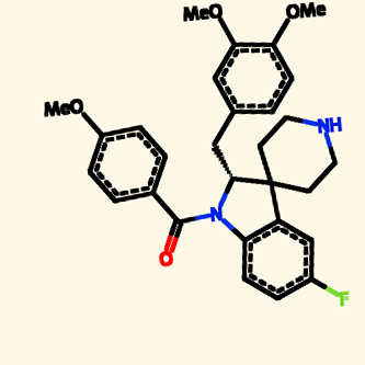 COc1ccc(C(=O)N2c3ccc(F)cc3C3(CCNCC3)[C@H]2Cc2ccc(OC)c(OC)c2)cc1